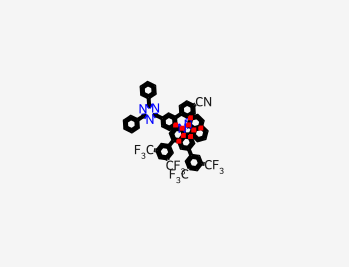 N#Cc1ccc(-c2cc(-c3nc(-c4ccccc4)nc(-c4ccccc4)n3)ccc2-n2c3ccccc3c3cc(-c4cc(C(F)(F)F)cc(C(F)(F)F)c4)ccc32)c(-n2c3ccccc3c3cc(-c4cc(C(F)(F)F)cc(C(F)(F)F)c4)ccc32)c1